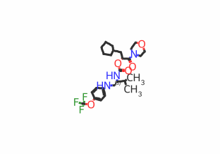 CC(C)[C@@H](CNc1ccc(OC(F)(F)F)cc1)NC(=O)OC(CC1CCCCC1)C(=O)N1CCOCC1